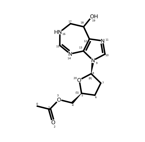 CC(=O)OC[C@@H]1CC[C@H](n2cnc3c2N=CNCC3O)O1